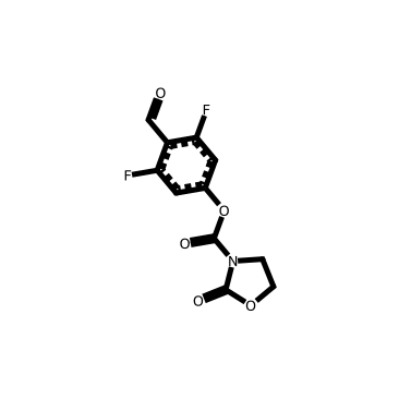 O=Cc1c(F)cc(OC(=O)N2CCOC2=O)cc1F